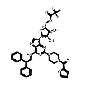 O=C(c1ccco1)N1CCN(c2nc(NCC(c3ccccc3)c3ccccc3)c3ncn([C@@H]4O[C@H](COC(=O)C(F)(F)F)[C@@H](O)[C@H]4O)c3n2)CC1